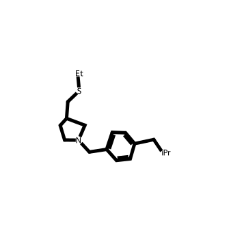 CCSCC1CCN(Cc2ccc(CC(C)C)cc2)C1